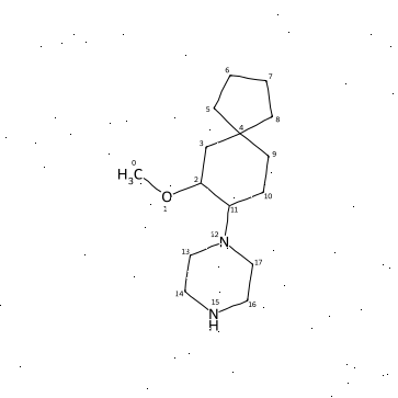 COC1CC2(CCCC2)CCC1N1CCNCC1